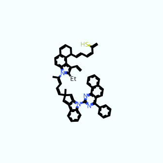 C=Cc1c(CC)n(/C(C)=C/C=C\C2(C)C=c3c(n(-c4nc(-c5ccccc5)c5ccc6ccccc6c5n4)c4ccccc34)=C2)c2ccc3c(c12)C(C=C/C=C\C(=C)S)CC=C3